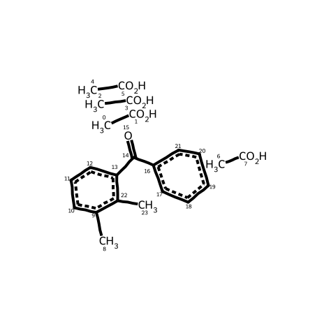 CC(=O)O.CC(=O)O.CC(=O)O.CC(=O)O.Cc1cccc(C(=O)c2ccccc2)c1C